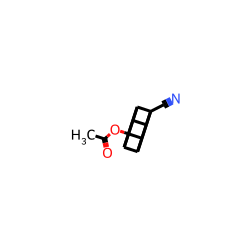 CC(=O)OC12C3C4C1C1C2C3C41C#N